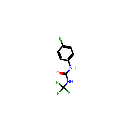 O=C(Nc1ccc(Br)cc1)NC(F)(F)F